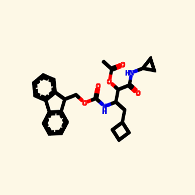 CC(=O)OC(C(=O)NC1CC1)C(CC1CCC1)NC(=O)OCC1c2ccccc2-c2ccccc21